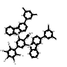 Cc1cc(C)cc(-c2ccc3c(c2)c2ccccc2n3-c2cc(-c3c(F)c(F)c(F)c(F)c3F)cc(-n3c4ccccc4c4cc(-c5cc(C)cc(C)c5)ccc43)c2C#N)c1